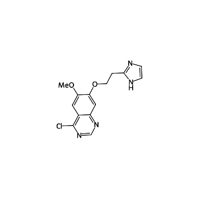 COc1cc2c(Cl)ncnc2cc1OCCc1ncc[nH]1